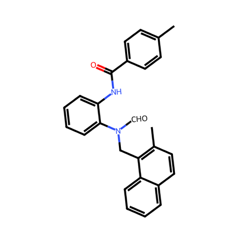 Cc1ccc(C(=O)Nc2ccccc2N(C=O)Cc2c(C)ccc3ccccc23)cc1